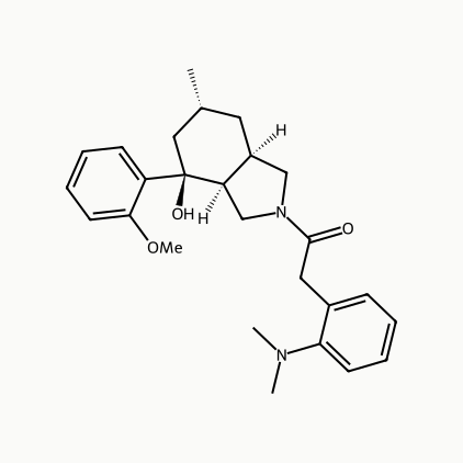 COc1ccccc1[C@]1(O)C[C@H](C)C[C@H]2CN(C(=O)Cc3ccccc3N(C)C)C[C@H]21